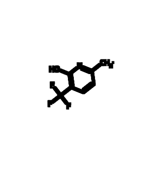 [CH2]c1ccc(C(F)(F)F)c(O)n1